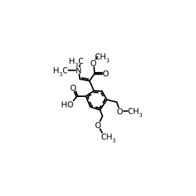 COCc1cc(C(=O)O)c(C(=CN(C)C)C(=O)OC)cc1COC